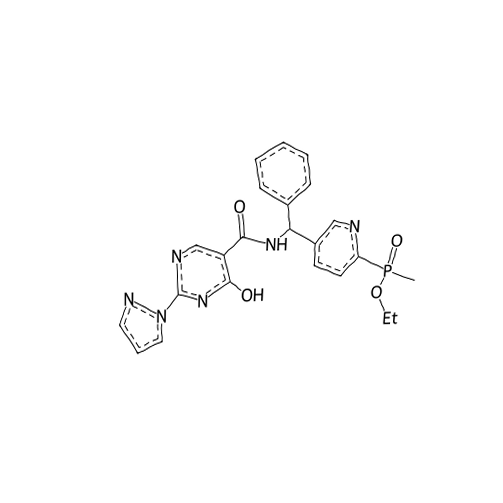 CCOP(C)(=O)c1ccc(C(NC(=O)c2cnc(-n3cccn3)nc2O)c2ccccc2)cn1